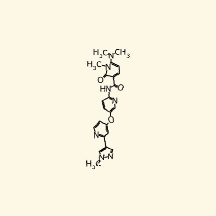 CN(C)c1ccc(C(=O)Nc2ccc(Oc3ccnc(-c4cnn(C)c4)c3)cn2)c(=O)n1C